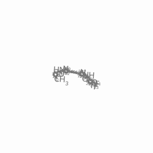 Cc1cccc(CC(=O)Nc2ccc(C#CC#Cc3ccc(NC(=O)Cc4cccc(OC(F)(F)F)c4)nc3)cn2)c1